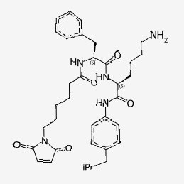 CC(C)Cc1ccc(NC(=O)[C@H](CCCCN)NC(=O)[C@H](Cc2ccccc2)NC(=O)CCCCCN2C(=O)C=CC2=O)cc1